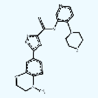 CN1CCOc2cc(-c3nnc(C(=O)Nc4cnccc4N4CCNCC4)s3)ccc21